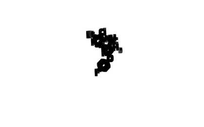 CCc1ncnc(NC(C)C2CC(Oc3ccc(F)cc3)=NO2)c1Cl